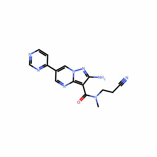 CN(CCC#N)C(=O)c1c(N)nn2cc(-c3ccncn3)cnc12